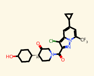 O=C1CN(C(=O)c2nn3c(C(F)(F)F)cc(C4CC4)cc3c2Cl)CC[C@@H]1C1CCC(O)CC1